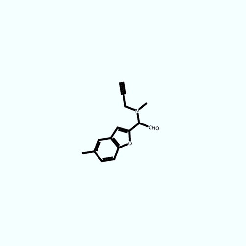 C#CCN(C)C(C=O)c1cc2cc(C)ccc2o1